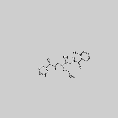 CCO[C@H](CNC(=O)c1ccnnc1)[C@@H](O)CNC(=O)c1ccccc1Cl